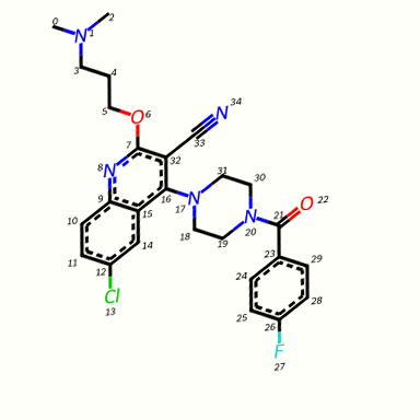 CN(C)CCCOc1nc2ccc(Cl)cc2c(N2CCN(C(=O)c3ccc(F)cc3)CC2)c1C#N